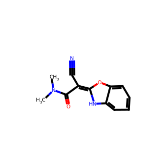 CN(C)C(=O)C(C#N)=C1Nc2ccccc2O1